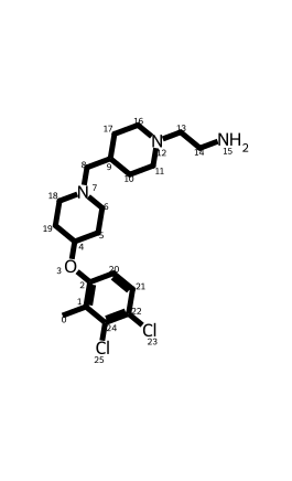 Cc1c(OC2CCN(CC3CCN(CCN)CC3)CC2)ccc(Cl)c1Cl